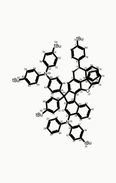 CC(C)(C)c1ccc([C@H](Cc2cc3c(c4oc5ccccc5c24)-c2c(cc(N(c4ccccc4)c4ccc(C(C)(C)C)cc4)c4ccccc24)C3(c2ccc(N(c3ccc(C(C)(C)C)cc3)c3ccc(C(C)(C)C)cc3)cc2)c2ccc(C(C)(C)C)cc2)c2ccccc2)cc1